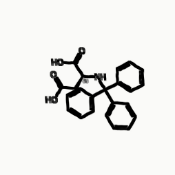 O=C(O)C[C@H](NC(c1ccccc1)(c1ccccc1)c1ccccc1)C(=O)O